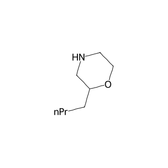 CCCCC1CNCCO1